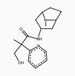 CN1C2CCC1CC(NC(=O)C(C)(CO)c1ccccn1)C2